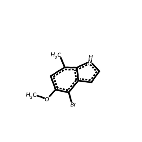 COc1cc(C)c2[nH]ccc2c1Br